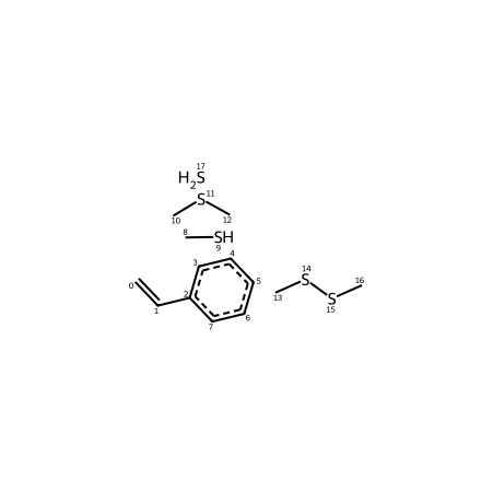 C=Cc1ccccc1.CS.CSC.CSSC.S